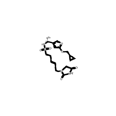 CCC[C@@H](NS(=O)(=O)CCCCCN1CC(=O)NC1=O)c1coc(OCC2CC2)c1